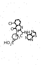 CC(Nc1ncnc2scnc12)c1nc2cccc(Cl)c2c(=O)n1C1CCN(C(=O)O)CC1